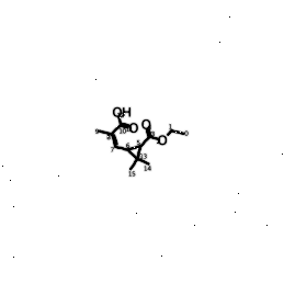 CCOC(=O)C1C(C=C(C)C(=O)O)C1(C)C